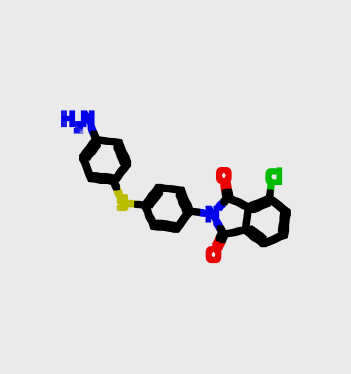 Nc1ccc(Sc2ccc(N3C(=O)c4cccc(Cl)c4C3=O)cc2)cc1